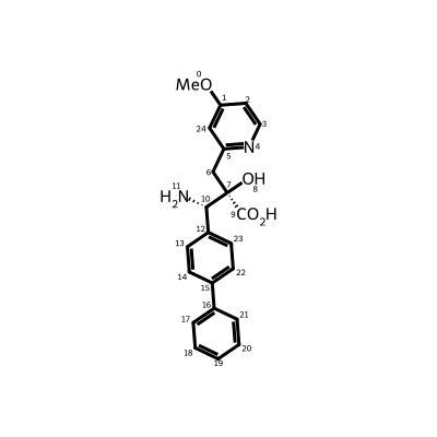 COc1ccnc(C[C@](O)(C(=O)O)[C@@H](N)c2ccc(-c3ccccc3)cc2)c1